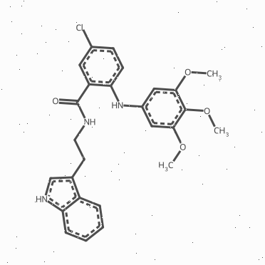 COc1cc(Nc2ccc(Cl)cc2C(=O)NCCc2c[nH]c3ccccc23)cc(OC)c1OC